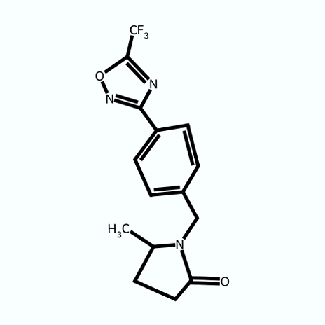 CC1CCC(=O)N1Cc1ccc(-c2noc(C(F)(F)F)n2)cc1